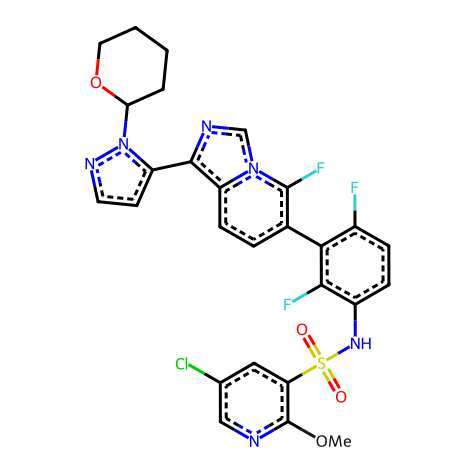 COc1ncc(Cl)cc1S(=O)(=O)Nc1ccc(F)c(-c2ccc3c(-c4ccnn4C4CCCCO4)ncn3c2F)c1F